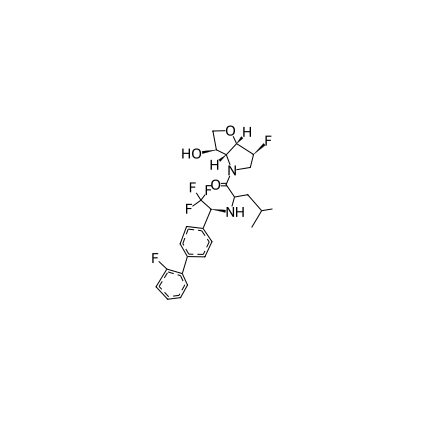 CC(C)CC(N[C@@H](c1ccc(-c2ccccc2F)cc1)C(F)(F)F)C(=O)N1C[C@H](F)[C@H]2OC[C@H](O)[C@H]21